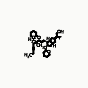 CCC#CCC(C)(C)[C@@H](/C=C/[C@@H]1[C@H]2C/C(=C(/F)CO)C[C@H]2C[C@H]1OC1CCCCO1)OC1CCCCO1